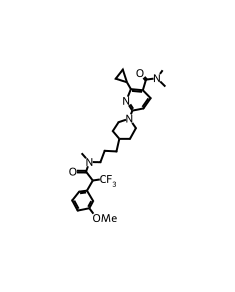 COc1cccc(C(C(=O)N(C)CCCC2CCN(c3ccc(C(=O)N(C)C)c(C4CC4)n3)CC2)C(F)(F)F)c1